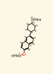 CCCCCCOc1ccc2cc(C3CCC(CCCCCC)CC3)ccc2c1